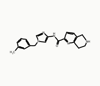 Cc1cccc(Cn2cnc(NC(=O)c3ccc4c(n3)CCNC4)c2)c1